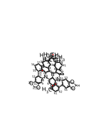 Cc1cc2c3c(c1)N(c1cc4c(cc1-c1ccccc1)OCO4)c1sc4ccc(C(C)(C)C)cc4c1B3c1c(sc3ccc(C(C)(C)C)cc13)N2c1cc2c(cc1-c1ccccc1)OCO2